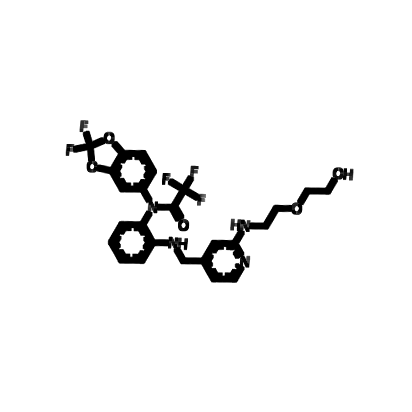 O=C(N(c1ccc2c(c1)OC(F)(F)O2)c1ccccc1NCc1ccnc(NCCOCCO)c1)C(F)(F)F